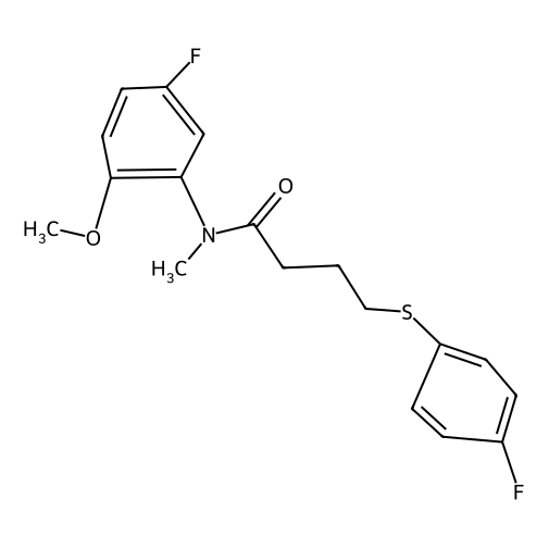 COc1ccc(F)cc1N(C)C(=O)CCCSc1ccc(F)cc1